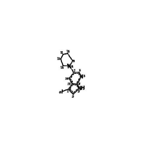 Ic1c[nH]c2ncc(N3CCCCC3)cc12